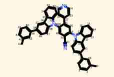 Cc1cccc(-c2ccc3c(c2)c2ccccc2n3-c2cc(-c3ccncc3)c(-n3c4ccccc4c4cc(-c5cccc(C)c5)ccc43)cc2C#N)c1